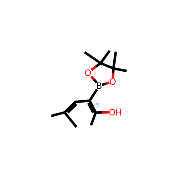 CC(C)=C/C(B1OC(C)(C)C(C)(C)O1)=C(\C)O